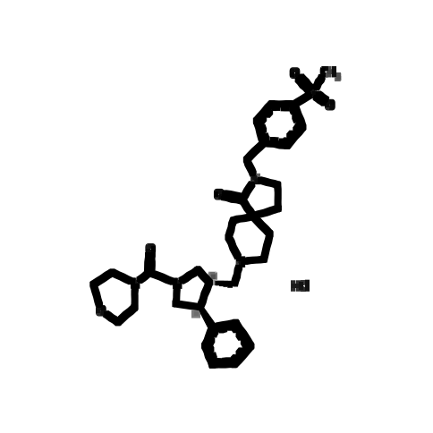 CS(=O)(=O)c1ccc(CN2CCC3(CCN(C[C@H]4CN(C(=O)N5CCOCC5)C[C@@H]4c4ccccc4)CC3)C2=O)cc1.Cl